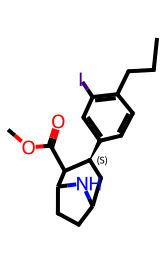 CCCc1ccc([C@H]2CC3CCC(N3)C2C(=O)OC)cc1I